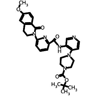 COc1ccc2c(c1)CCN(c1cccc(C(=O)Nc3cnccc3N3CCN(C(=O)OC(C)(C)C)CC3)n1)C2=O